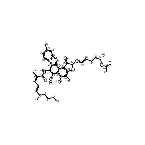 CCCC[C@@H](C)/C=C/C=C(/C)C(=O)Nc1c(O)c2c(O)c(C)c3c(c2c2nc4cc(C)ccn4c12)C(=O)C(O/C=C/CC[C@H](C)OC(C)=O)O3